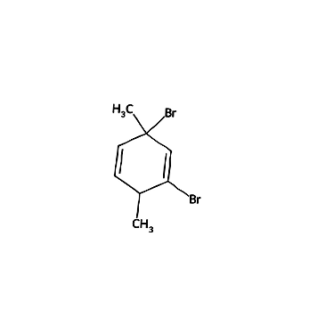 CC1C=CC(C)(Br)C=C1Br